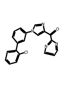 O=C(c1cn(-c2cccc(-c3ccccc3Cl)c2)cn1)c1ncccn1